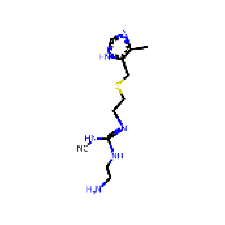 Cc1nc[nH]c1CSCC/N=C(\NC#N)NCCN